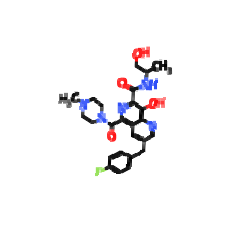 CC(CO)NC(=O)c1nc(C(=O)N2CCN(C)CC2)c2cc(Cc3ccc(F)cc3)cnc2c1O